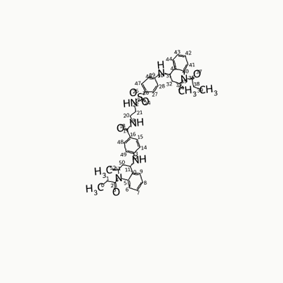 CCC(=O)N1c2ccccc2[C@H](Nc2ccc(C(=O)NCCNS(=O)(=O)c3ccc(N[C@@H]4C[C@H](C)N(C(=O)CC)c5ccccc54)cc3)cc2)C[C@@H]1C